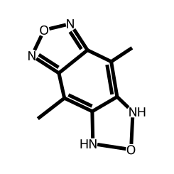 Cc1c2c(c(C)c3nonc13)NON2